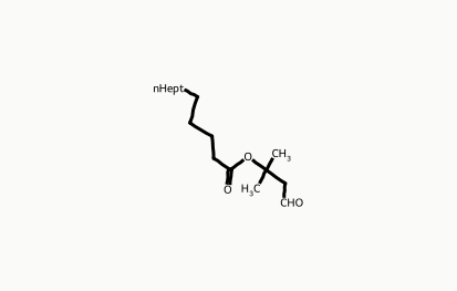 CCCCCCCCCCCC(=O)OC(C)(C)CC=O